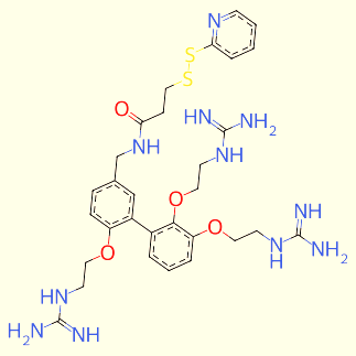 N=C(N)NCCOc1ccc(CNC(=O)CCSSc2ccccn2)cc1-c1cccc(OCCNC(=N)N)c1OCCNC(=N)N